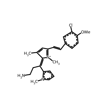 COc1ccc(/C=C/C2=[N+](C)C(=C(/CCN)c3cccn3C)/C(C)=C2)cc1Cl